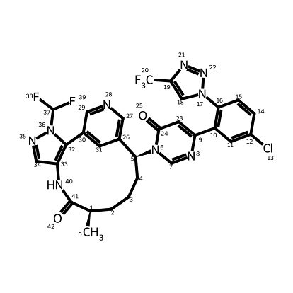 C[C@@H]1CCC[C@H](n2cnc(-c3cc(Cl)ccc3-n3cc(C(F)(F)F)nn3)cc2=O)c2cncc(c2)-c2c(cnn2C(F)F)NC1=O